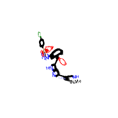 CN/C=C(\C=N)c1cnc2[nH]cc(C(=O)c3cccc(NS(=O)(=O)c4ccc(Cl)cc4)c3)c2c1